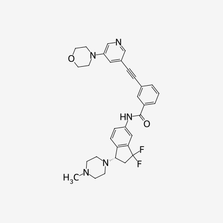 CN1CCN([C@H]2CC(F)(F)c3cc(NC(=O)c4cccc(C#Cc5cncc(N6CCOCC6)c5)c4)ccc32)CC1